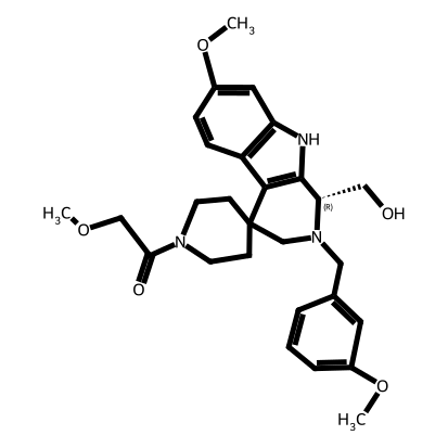 COCC(=O)N1CCC2(CC1)CN(Cc1cccc(OC)c1)[C@@H](CO)c1[nH]c3cc(OC)ccc3c12